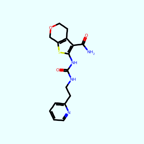 NC(=O)c1c(NC(=O)NCCc2ccccn2)sc2c1CCOC2